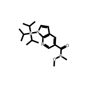 CON(C)C(=O)c1cnc2c(ccn2S(C(C)C)(C(C)C)C(C)C)c1